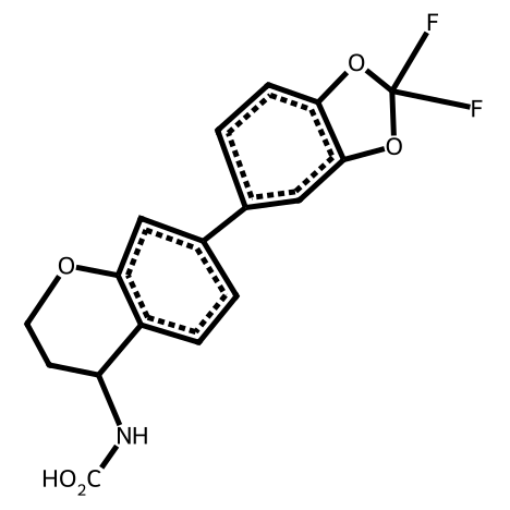 O=C(O)NC1CCOc2cc(-c3ccc4c(c3)OC(F)(F)O4)ccc21